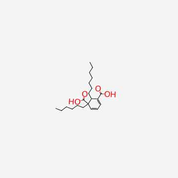 CCCCCCCC1C(C(=O)O)=CC=CC1(CCCCCC)C(=O)O